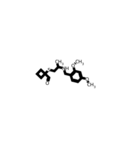 COc1ccc(CNC(C)CSC2(C=O)CCC2)c(OC)c1